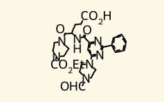 CCOC(=O)N1CCN(C(=O)C(CCC(=O)O)NC(=O)c2cc(N3CCN(C=O)CC3)nc(-c3ccccc3)n2)CC1